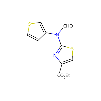 CCOC(=O)c1csc(N(C=O)c2ccsc2)n1